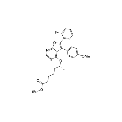 COc1ccc(-c2c(-c3ccccc3F)oc3ncnc(O[C@H](C)CCCCC(=O)OC(C)(C)C)c23)cc1